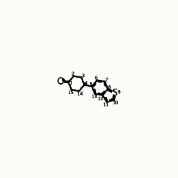 O=C1CCC(c2ccc3sccc3c2)CC1